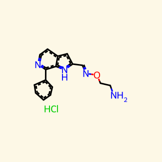 Cl.NCCON=Cc1cc2ccnc(-c3ccccc3)c2[nH]1